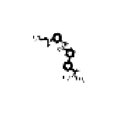 CN(C)C(=O)c1cccc(-c2cccc([S+]([O-])Nc3cccc(NCCN)c3)c2)c1